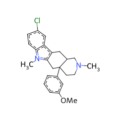 COc1cccc(C23CCN(C)CC2Cc2c(n(C)c4ccc(Cl)cc24)C3)c1